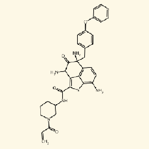 C=CC(=O)N1CCCC(NC(=O)c2sc3c(N)ccc4c3c2C(N)C(=O)C4(N)Cc2ccc(Oc3ccccc3)cc2)C1